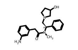 CN(C(=O)Cc1cccc(N)c1)[C@@H](CN1CCC(O)C1)c1ccccc1